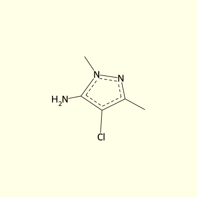 Cc1nn(C)c(N)c1Cl